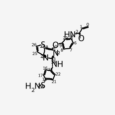 C=CC(=O)Nc1cccc(Oc2nc(Nc3ccc(SN)cc3)nc3ccsc23)c1